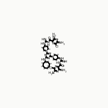 N=C(NC(=O)c1nc(Cl)c(N)nc1N)NC1CCN(c2nc(NC3CCCCCCC3)nc(N3CCC(NC(=N)NC(=O)c4nc(Cl)c(N)nc4N)CC3)n2)CC1